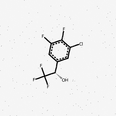 O[C@@H](c1cc(F)c(F)c(Cl)c1)C(F)(F)F